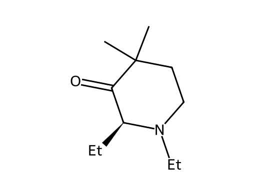 CC[C@H]1C(=O)C(C)(C)CCN1CC